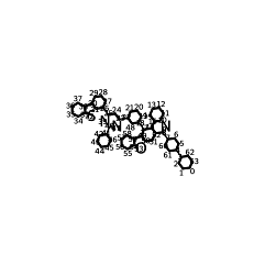 c1ccc(-c2ccc(-c3nc4ccccc4c4c(-c5cccc(-c6cc(-c7cccc8c7sc7ccccc78)nc(-c7ccccc7)n6)c5)c5c(cc34)oc3ccccc35)cc2)cc1